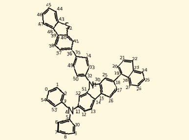 c1ccc(N(c2ccccc2)c2ccc3c4ccc(-c5cccc6ccccc56)cc4n(-c4ccc(-c5ccc6c(c5)sc5ccccc56)cc4)c3c2)cc1